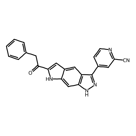 N#Cc1cc(-c2n[nH]c3cc4[nH]c(C(=O)Cc5ccccc5)cc4cc23)ccn1